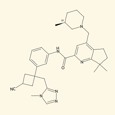 C[C@H]1CCCN(Cc2cc(C(=O)Nc3cccc(C4(Cc5nncn5C)CC(C#N)C4)c3)nc3c2CCC3(C)C)C1